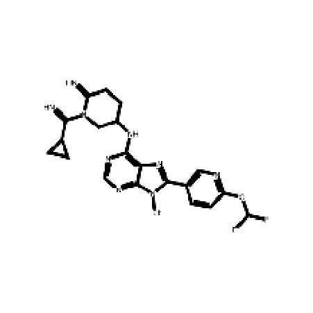 CCn1c(-c2ccc(OC(F)F)nc2)nc2c(NC3CCC(=N)N(C(=N)C4CC4)C3)ncnc21